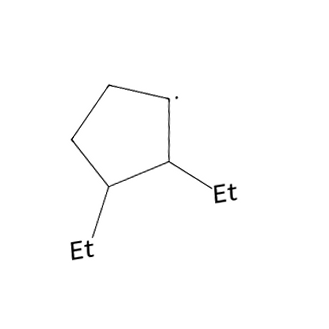 CCC1[CH]CCC1CC